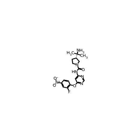 CC(C)(N)[C@H]1CCN(C(=O)Nc2cc(Oc3ccc([N+](=O)[O-])cc3F)ncn2)C1